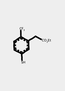 CCOC(=O)Cc1cc(S)ccc1C(F)(F)F